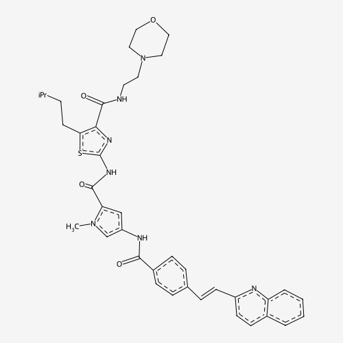 CC(C)CCc1sc(NC(=O)c2cc(NC(=O)c3ccc(/C=C/c4ccc5ccccc5n4)cc3)cn2C)nc1C(=O)NCCN1CCOCC1